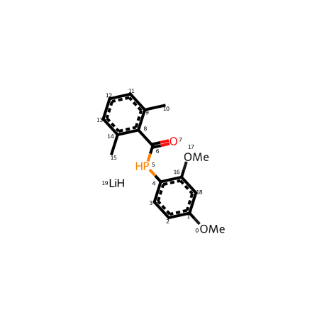 COc1ccc(PC(=O)c2c(C)cccc2C)c(OC)c1.[LiH]